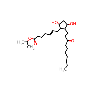 CCCCCCCC(=O)CCC1C(O)CC(O)C1CC=CCCCC(=O)OC(C)C